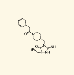 CC(C)CC1(C)NC(=N)N(CC2CCN(C(=O)Cc3ccccc3)CC2)C1=O